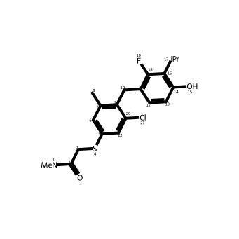 CNC(=O)CSc1cc(C)c(Cc2ccc(O)c(C(C)C)c2F)c(Cl)c1